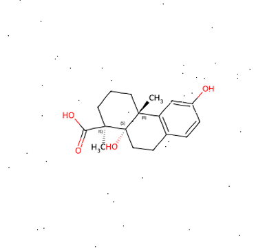 C[C@]1(C(=O)O)CCC[C@]2(C)c3cc(O)ccc3CC[C@@]12O